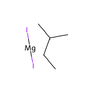 CC[C](C)C.[I][Mg][I]